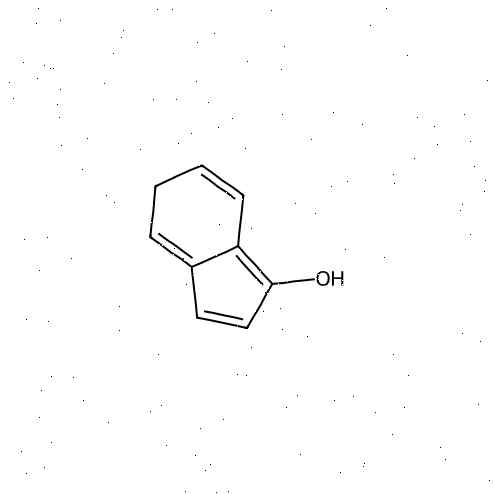 OC1=C2C=CCC=C2C=C1